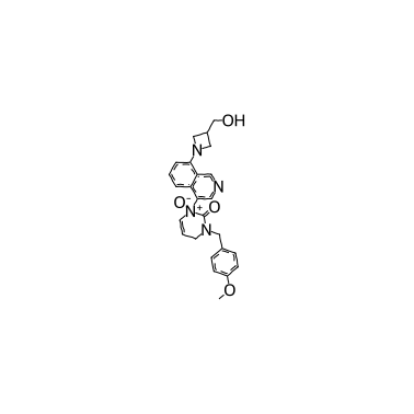 COc1ccc(CN2CC=C[N+]([O-])(c3cncc4c(N5CC(CO)C5)cccc34)C2=O)cc1